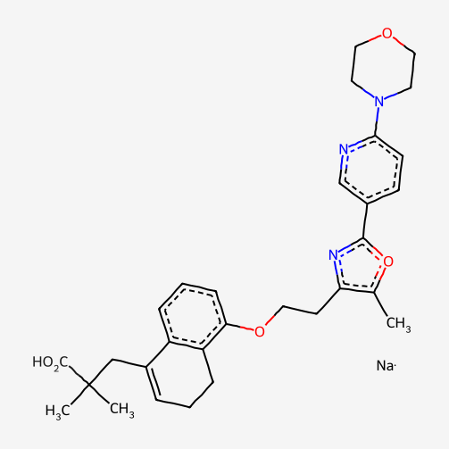 Cc1oc(-c2ccc(N3CCOCC3)nc2)nc1CCOc1cccc2c1CCC=C2CC(C)(C)C(=O)O.[Na]